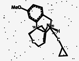 COc1ccc2c(c1)[C@@]13CCCC=C1[C@@H](C2)N(CC1CC1)CC3